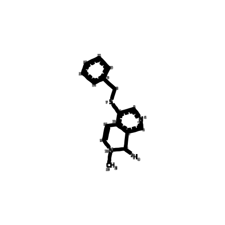 [2H]C1c2cncc(SCc3ccccc3)c2C=CN1C